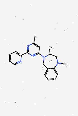 CCc1cc(N2Cc3ccccc3N(C)CC2C)nc(-c2ccccn2)n1